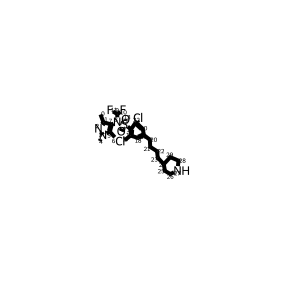 Cc1nn(C)c(C)c1N(C(F)F)S(=O)(=O)c1c(Cl)cc(CCCCC2CCNCC2)cc1Cl